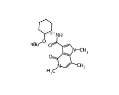 CCCCOC1CCCC[C@@H]1NC(=O)c1cn(C)c2c(C)cn(C)c(=O)c12